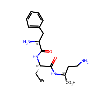 CC(C)C[C@H](NC(=O)[C@@H](N)Cc1ccccc1)C(=O)N[C@@H](CCN)C(=O)O